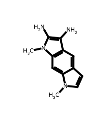 Cn1ccc2cc3c(N)c(N)n(C)c3cc21